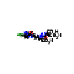 O=C(O)C[C@H](NC(=O)N[C@@H](CCCCNC(=O)c1ccc([18F])nn1)C(=O)O)C(=O)O